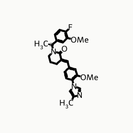 COc1cc([C@H](C)N2CCCC(=Cc3ccc(-n4cnc(C)c4)c(OC)c3)C2=O)ccc1F